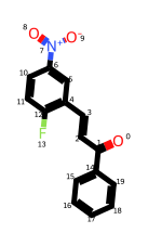 O=C(C=Cc1cc([N+](=O)[O-])ccc1F)c1ccccc1